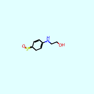 O=S=C1C=CC(NCCO)=CC1